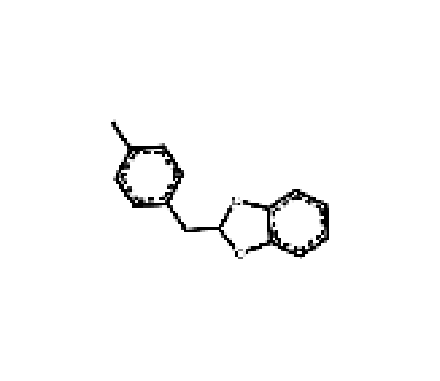 Cc1ccc(C[C]2Oc3ccccc3O2)cc1